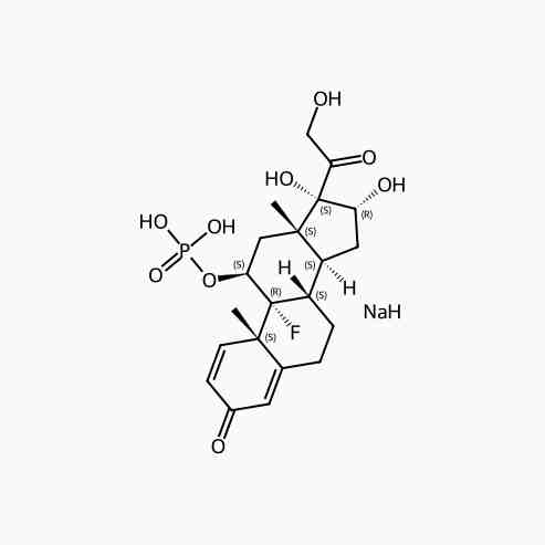 C[C@]12C=CC(=O)C=C1CC[C@H]1[C@@H]3C[C@@H](O)[C@](O)(C(=O)CO)[C@@]3(C)C[C@H](OP(=O)(O)O)[C@@]12F.[NaH]